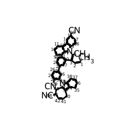 C/C=C\C(=C(/C)n1c2ccccc2c2cc(C#N)ccc21)c1cccc(-c2ccc(C#N)c(-n3c4c(c5ccccc53)CC=CC(C#N)C4)c2)c1